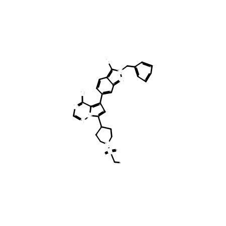 CCS(=O)(=O)N1CCC(c2cc(-c3ccc4c(N)n(Cc5ccccc5)nc4c3)c3c(N)ncnn23)CC1